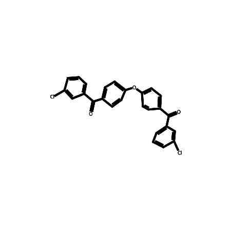 O=C(c1ccc(Oc2ccc(C(=O)c3cccc(Cl)c3)cc2)cc1)c1cccc(Cl)c1